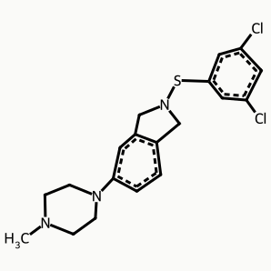 CN1CCN(c2ccc3c(c2)CN(Sc2cc(Cl)cc(Cl)c2)C3)CC1